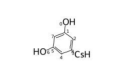 Oc1cccc(O)c1.[CsH]